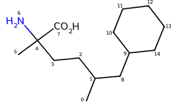 CC(CCC(C)(N)C(=O)O)CC1CCCCC1